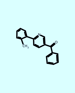 Cc1ccccc1-c1ccc(C(=O)c2ccccc2)cn1